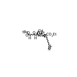 CCOC(=O)c1cc(NC(=O)c2nc(NC(=O)CCNC(=O)OC(C)(C)C)cn2C)cn1CCCCCCN=[N+]=[N-]